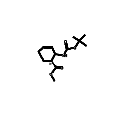 COC(=O)[C@H]1CCC=CC1NC(=O)OC(C)(C)C